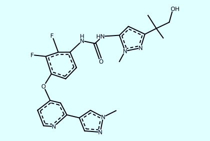 Cn1cc(-c2cc(Oc3ccc(NC(=O)Nc4cc(C(C)(C)CO)nn4C)c(F)c3F)ccn2)cn1